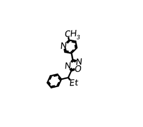 CCC(c1ccccc1)c1nc(-c2ccc(C)nc2)no1